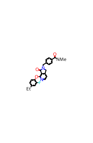 CCc1ccc(Oc2nccc3c2C(=O)N(Cc2ccc(C(=O)NC)cc2)C3)c(F)c1